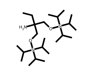 CCC(N)(CO[Si](C(C)C)(C(C)C)C(C)C)CO[Si](C(C)C)(C(C)C)C(C)C